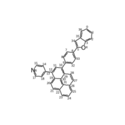 c1ccc2oc(-c3ccc(-c4cc(-c5ccncc5)c5ccc6cccc7ccc4c5c67)cc3)cc2c1